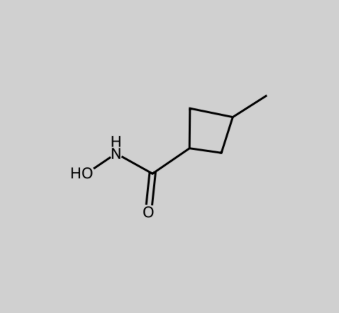 CC1CC(C(=O)NO)C1